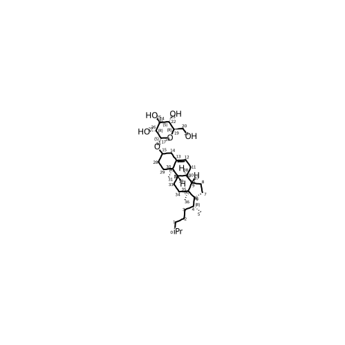 CC(C)CCC[C@@H](C)[C@H]1CC[C@H]2[C@@H]3CC=C4CC(O[C@H]5O[C@H](CO)[C@@H](O)[C@H](O)[C@H]5O)CC[C@]4(C)[C@H]3CC[C@]12C